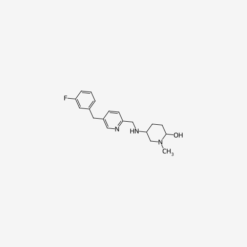 CN1CC(NCc2ccc(Cc3cccc(F)c3)cn2)CCC1O